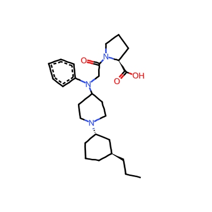 CCC[C@H]1CCC[C@H](N2CCC(N(CC(=O)N3CCC[C@H]3C(=O)O)c3ccccc3)CC2)C1